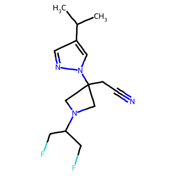 CC(C)c1cnn(C2(CC#N)CN(C(CF)CF)C2)c1